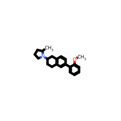 COc1ccccc1-c1ccc2c(c1)CCC(N1CCCC1C)C2